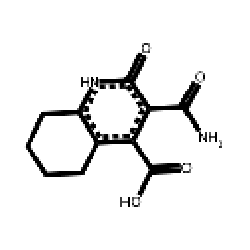 NC(=O)c1c(C(=O)O)c2c([nH]c1=O)CCCC2